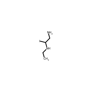 CCNC(I)CN